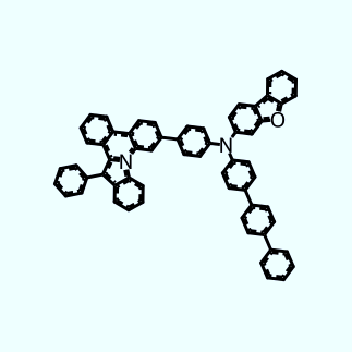 c1ccc(-c2ccc(-c3ccc(N(c4ccc(-c5ccc6c7ccccc7c7c(-c8ccccc8)c8ccccc8n7c6c5)cc4)c4ccc5c(c4)oc4ccccc45)cc3)cc2)cc1